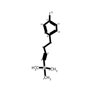 C[Si](C)(C)C#CCCc1ccc(I)cc1